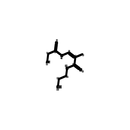 CC(=O)CC(=O)OC=C(C)C(=O)OCCO